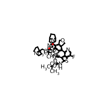 CC(C)(C)OC(=O)Nc1sc2c(F)cnc(-c3c4c(c5c(N6C7CCC6CN(C(=O)OC(C)(C)C)C7)nc(OCC67CCCN6CC7)nc5c3F)COC4)c2c1C#N